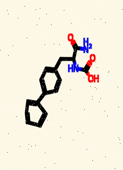 NC(=O)C(Cc1ccc(-c2ccccc2)cc1)NC(=O)O